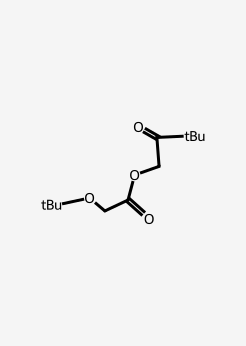 CC(C)(C)OCC(=O)OCC(=O)C(C)(C)C